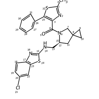 Cc1nc(C(=O)N2CC3(CC3)C[C@H]2CNc2nc3ccc(Cl)cc3s2)c(-c2ccccc2)s1